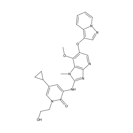 COc1c(Oc2cnn3ccccc23)cnc2nc(Nc3cc(C4CC4)cn(CCO)c3=O)n(C)c12